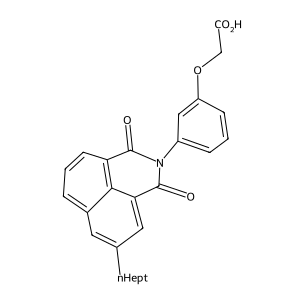 CCCCCCCc1cc2c3c(cccc3c1)C(=O)N(c1cccc(OCC(=O)O)c1)C2=O